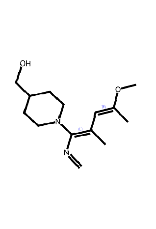 C=N/C(=C(C)/C=C(\C)OC)N1CCC(CO)CC1